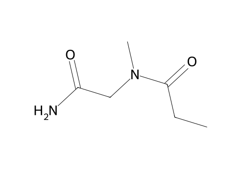 CCC(=O)N(C)CC(N)=O